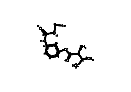 CC(C)C(N)C(=O)Oc1cccc(OC(=O)OCI)c1